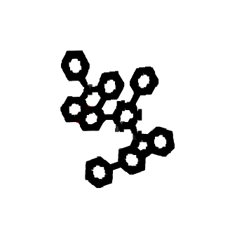 c1ccc(-c2ccc3c4ccccc4n(-c4nc(-c5ccccc5)nc(-c5ccccc5-c5ccccc5N(c5ccccc5)c5ccccc5)n4)c3c2)cc1